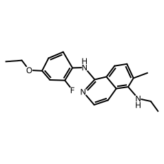 CCNc1c(C)ccc2c(Nc3ccc(OCC)cc3F)nccc12